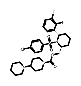 O=C(OC[C@H]1CCC[C@@H](c2cccc(F)c2F)N1S(=O)(=O)c1ccc(Cl)cc1)N1CCC(N2CCCCC2)CC1